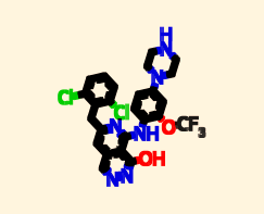 Oc1nncc2cc(Cc3c(Cl)cccc3Cl)nc(Nc3ccc(N4CCNCC4)cc3OC(F)(F)F)c12